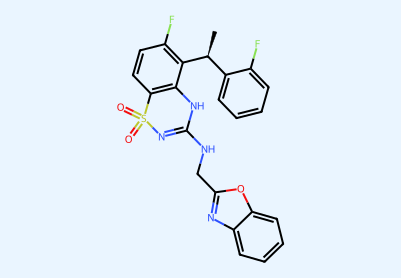 C[C@@H](c1ccccc1F)c1c(F)ccc2c1NC(NCc1nc3ccccc3o1)=NS2(=O)=O